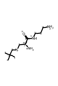 CC(C)(C)CSC[C@H](N)C(=O)NCCCN